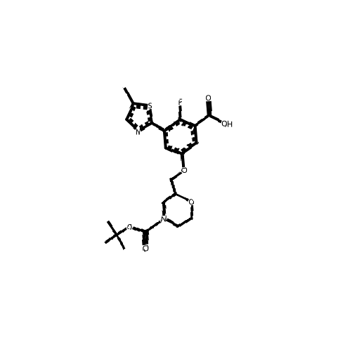 Cc1cnc(-c2cc(OCC3CN(C(=O)OC(C)(C)C)CCO3)cc(C(=O)O)c2F)s1